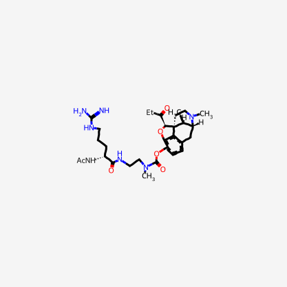 CCC(=O)[C@@H]1Oc2c(OC(=O)N(C)CCNC(=O)[C@@H](CCCNC(=N)N)NC(C)=O)ccc3c2[C@@]12CCN(C)[C@H](C3)[C@@H]2C